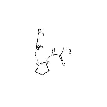 CCNC[C@H]1CCC[C@H]1NC(C)=O